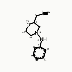 C#CCC1CN(Nc2ccccc2)CCO1